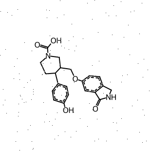 O=C1NCc2ccc(OCC3CN(C(=O)O)CCC3c3ccc(O)cc3)cc21